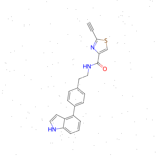 C#Cc1nc(C(=O)NCCc2ccc(-c3cccc4[nH]ccc34)cc2)cs1